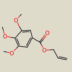 C=CCOC(=O)c1cc(OC)c(OC)c(OC)c1